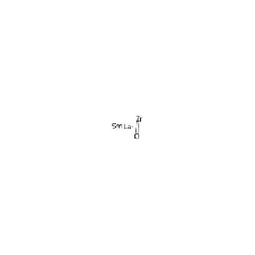 [La].[O]=[Zr].[Sm]